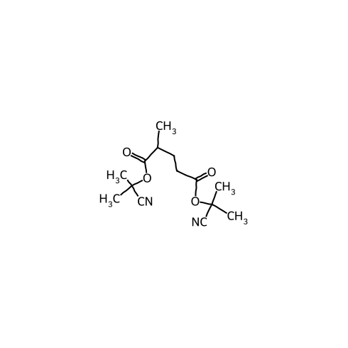 CC(CCC(=O)OC(C)(C)C#N)C(=O)OC(C)(C)C#N